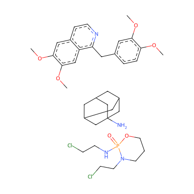 COc1ccc(Cc2nccc3cc(OC)c(OC)cc23)cc1OC.NC12CC3CC(CC(C3)C1)C2.O=P1(NCCCl)OCCCN1CCCl